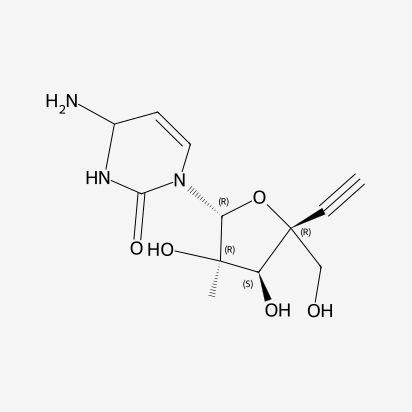 C#C[C@]1(CO)O[C@@H](N2C=CC(N)NC2=O)[C@](C)(O)[C@@H]1O